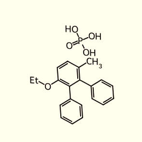 CCOc1ccc(C)c(-c2ccccc2)c1-c1ccccc1.O=P(O)(O)O